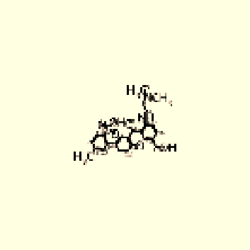 Cc1ccc(S(=O)(=O)O)c(-c2ccc3oc4c(CO)ccc(NCCN(C)C)c4c(=O)c3c2)c1